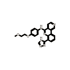 COCCOc1ccc(Nc2nc3c(-c4nnc[nH]4)cccc3c3cnccc23)cc1